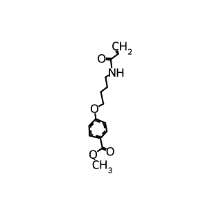 C=CC(=O)NCCCCOc1ccc(C(=O)OC)cc1